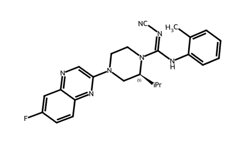 Cc1ccccc1NC(=NC#N)N1CCN(c2cnc3cc(F)ccc3n2)C[C@@H]1C(C)C